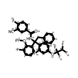 CC(C)Oc1c(F)cccc1C(Cc1ccccc1)(NC(=O)c1ccc(F)c(C#N)c1)c1ccc(OC(F)(F)C(F)F)cc1F